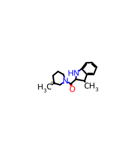 CC1c2ccccc2NC1C(=O)N1CCC[C@H](C)C1